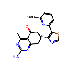 COc1cccc(-c2scnc2[C@H]2CC(=O)c3c(C)nc(N)nc3C2)n1